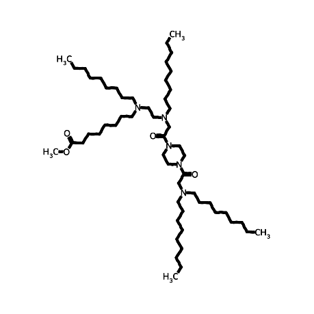 CCCCCCCCCN(CCCCCCCC(=O)OC)CCN(CCCCCCCCC)CC(=O)N1CCN(C(=O)CN(CCCCCCCCC)CCCCCCCCC)CC1